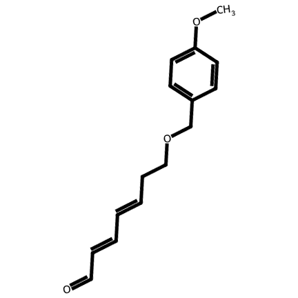 COc1ccc(COCCC=CC=CC=O)cc1